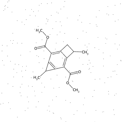 COC(=O)c1c2c(c(C(=O)OC)c3c1C3C)C(C)C2